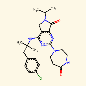 CC(C)N1Cc2c(NC(C)(C)Cc3ccc(Cl)cc3)nc(N3CCNC(=O)CC3)nc2C1=O